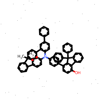 CC1(C)c2ccccc2-c2ccc(N(c3ccc(-c4ccc(O)c5c4C(c4ccccc4)(c4ccccc4)c4ccccc4-5)cc3)c3ccc(-c4ccccc4)cc3-c3ccccc3)cc21